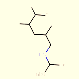 CCCCC(CC)NCC(C)CC(CC)C(CC)CC